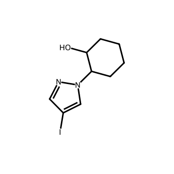 OC1CCCCC1n1cc(I)cn1